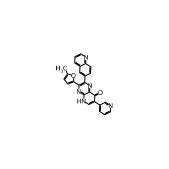 Cc1ccc(-c2nc3[nH]cc(-c4cccnc4)c(=O)c3nc2-c2ccc3ncccc3c2)o1